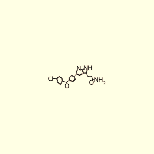 NC(=O)/C=C/c1c[nH]c2ncc(-c3ccc(C(=O)c4ccc(Cl)cc4)cc3)cc12